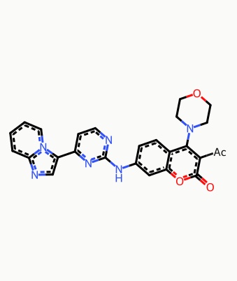 CC(=O)c1c(N2CCOCC2)c2ccc(Nc3nccc(-c4cnc5ccccn45)n3)cc2oc1=O